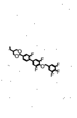 CCC1COC(c2ccc(-c3cc(F)c(OCc4cc(F)c(F)c(F)c4)c(F)c3)c(F)c2)OC1